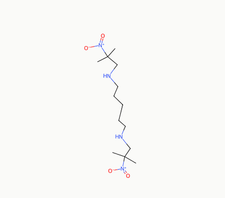 CC(C)(CNCCCCCNCC(C)(C)[N+](=O)[O-])[N+](=O)[O-]